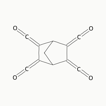 O=C=C1C(=C=O)C2CC1C(=C=O)C2=C=O